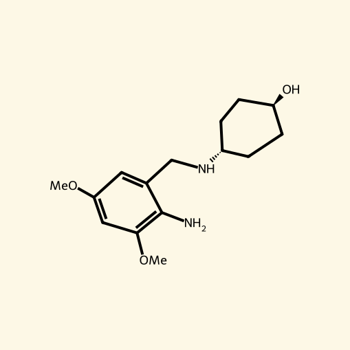 COc1cc(CN[C@H]2CC[C@H](O)CC2)c(N)c(OC)c1